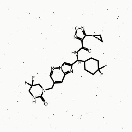 O=C(N[C@H](c1cn2ncc(CN3CC(F)(F)CNC3=O)cc2n1)C1CCC(F)(F)CC1)c1nonc1C1CC1